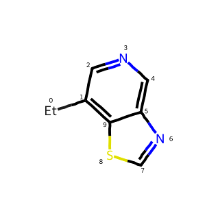 CCc1cncc2ncsc12